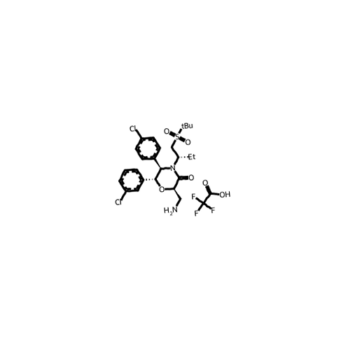 CC[C@@H](CS(=O)(=O)C(C)(C)C)N1C(=O)[C@@H](CN)O[C@H](c2cccc(Cl)c2)[C@H]1c1ccc(Cl)cc1.O=C(O)C(F)(F)F